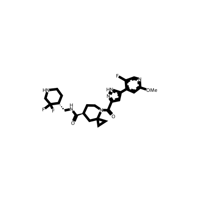 COc1cc(-c2cc(C(=O)N3CC[C@H](C(=O)NC[C@H]4CCNCC4(F)F)CC34CC4)n[nH]2)c(F)cn1